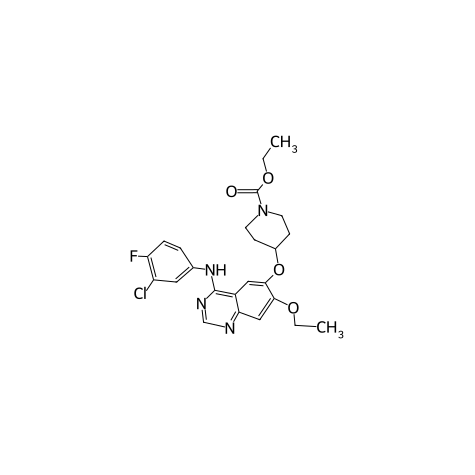 CCOC(=O)N1CCC(Oc2cc3c(Nc4ccc(F)c(Cl)c4)ncnc3cc2OCC)CC1